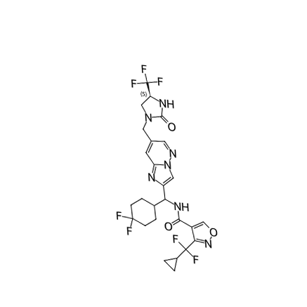 O=C(NC(c1cn2ncc(CN3C[C@@H](C(F)(F)F)NC3=O)cc2n1)C1CCC(F)(F)CC1)c1conc1C(F)(F)C1CC1